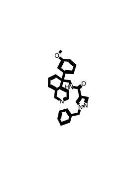 COc1cccc(C2(CNC(=O)c3cnn(Cc4ccccc4)c3)C=CC=C3CN=CC=C32)c1